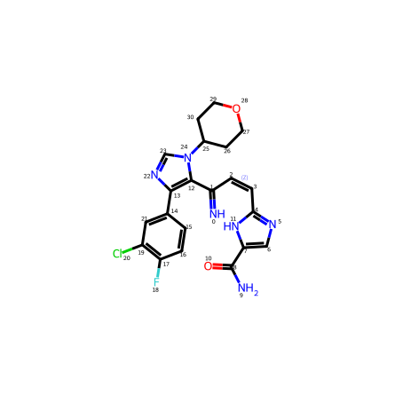 N=C(/C=C\c1ncc(C(N)=O)[nH]1)c1c(-c2ccc(F)c(Cl)c2)ncn1C1CCOCC1